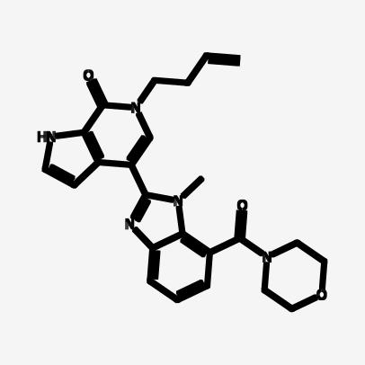 C=CCCn1cc(-c2nc3cccc(C(=O)N4CCOCC4)c3n2C)c2cc[nH]c2c1=O